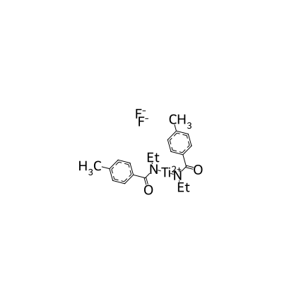 CC[N]([Ti+2][N](CC)C(=O)c1ccc(C)cc1)C(=O)c1ccc(C)cc1.[F-].[F-]